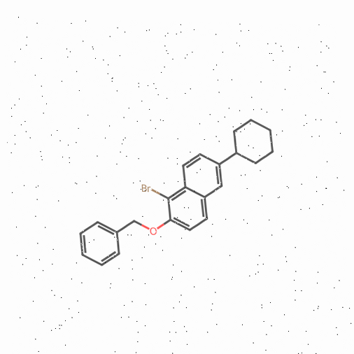 Brc1c(OCc2ccccc2)ccc2cc(C3CCCCC3)ccc12